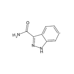 NC(=O)c1n[nH]c2c[c]ccc12